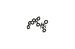 c1ccc(-c2nc(-c3ccccc3)nc(-c3cccc(-n4c5ccccc5c5ccc6c7ccn(-c8ccccc8)c7ccc6c54)c3)n2)cc1